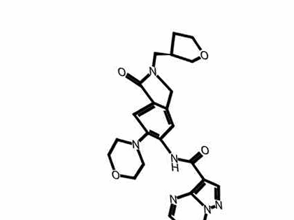 O=C(Nc1cc2c(cc1N1CCOCC1)C(=O)N(C[C@H]1CCOC1)C2)c1cnn2cccnc12